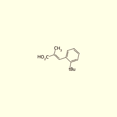 CC(=Cc1ccccc1C(C)(C)C)C(=O)O